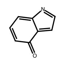 O=C1C=CC=C2N=CC=C12